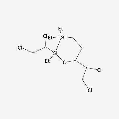 CC[Si]1(CC)CCC(C(Cl)CCl)O[Si]1(CC)C(Cl)CCl